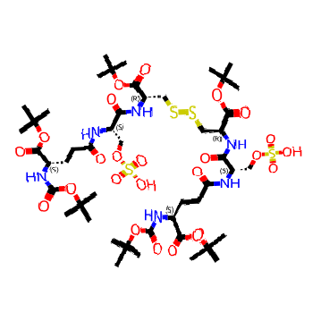 CC(C)(C)OC(=O)N[C@@H](CCC(=O)N[C@@H](COS(=O)(=O)O)C(=O)N[C@@H](CSSC[C@H](NC(=O)[C@H](COS(=O)(=O)O)NC(=O)CC[C@H](NC(=O)OC(C)(C)C)C(=O)OC(C)(C)C)C(=O)OC(C)(C)C)C(=O)OC(C)(C)C)C(=O)OC(C)(C)C